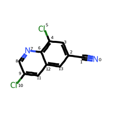 N#Cc1cc(Cl)c2ncc(Cl)cc2c1